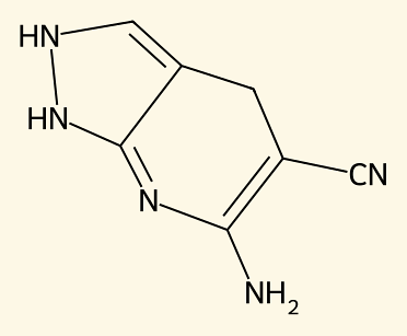 N#CC1=C(N)N=C2NNC=C2C1